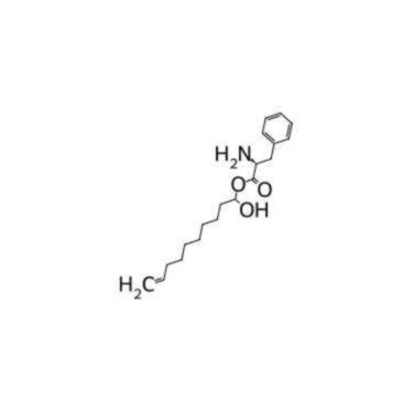 C=CCCCCCCCC(O)OC(=O)[C@@H](N)Cc1ccccc1